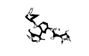 Cc1ncnc(C)c1-c1cc(NC(=O)c2c(F)cnn2C)ccc1OC1CNC1